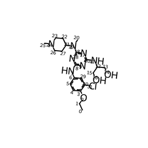 CCOc1ccc(Nc2nc(NC(CO)CO)nc(N(C)C3CCN(C)CC3)n2)cc1Cl